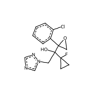 OC(Cn1cncn1)(C1(F)CC1)C1(c2ccccc2Cl)CO1